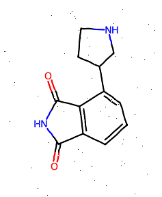 O=C1NC(=O)c2c1cccc2C1CCNC1